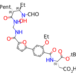 CCCCC[C@@H](C(=O)NCNC(=O)c1ccc(-c2ccc(C(=O)N[C@@H](CC(=O)O)C(=O)OC(C)(C)C)c(OCC)c2)o1)[C@@H](CC)N(O)C=O